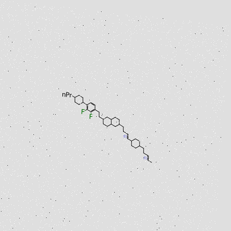 C/C=C/CCC1CCC(/C=C/CCC2CCC3CC(CCc4ccc(C5CCC(CCC)CC5)c(F)c4F)CCC3C2)CC1